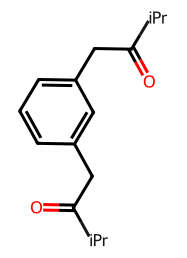 CC(C)C(=O)Cc1cccc(CC(=O)C(C)C)c1